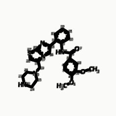 COc1ccc(C(=O)Nc2ccccc2-c2cn3c(CN4CCNCC4)csc3n2)cc1OC